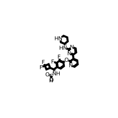 O=[SH](=O)N[C@H](c1ccc(Oc2ncccc2-c2ccnc(N[C@H]3CCCNC3)n2)c(F)c1F)C1CC(F)(F)C1